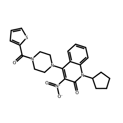 O=C(c1cccs1)N1CCN(c2c([N+](=O)[O-])c(=O)n(C3CCCC3)c3ccccc23)CC1